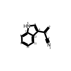 C=C(C#N)c1c[nH]c2ccccc12